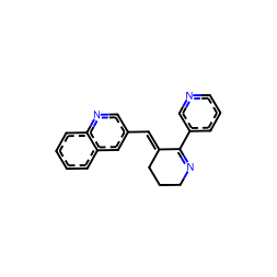 C(=C1CCCN=C1c1cccnc1)c1cnc2ccccc2c1